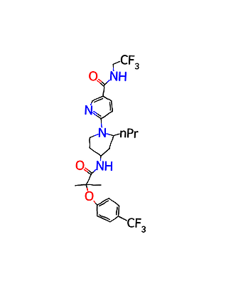 CCCC1CC(NC(=O)C(C)(C)Oc2ccc(C(F)(F)F)cc2)CCN1c1ccc(C(=O)NCC(F)(F)F)cn1